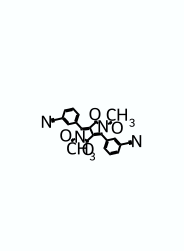 CC(=O)N1C(=O)C2=C(c3cccc(C#N)c3)N(C(C)=O)C(=O)C2=C1c1cccc(C#N)c1